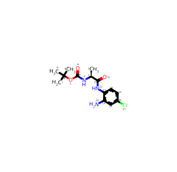 C[C@H](NC(=O)OC(C)(C)C)C(=O)Nc1ccc(Cl)cc1N